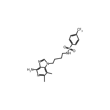 Cc1nc(N)c2ncn(CCCCNS(=O)(=O)c3ccc(C(F)(F)F)cc3)c2c1C